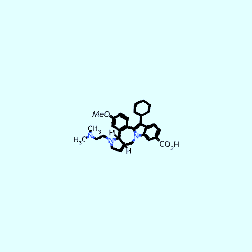 COc1ccc2c(c1)[C@@H]1[C@@H](CCN1CCN(C)C)Cn1c-2c(C2CCCCC2)c2ccc(C(=O)O)cc21